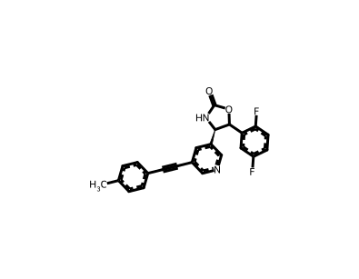 Cc1ccc(C#Cc2cncc([C@H]3NC(=O)OC3c3cc(F)ccc3F)c2)cc1